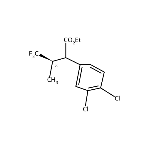 CCOC(=O)C(c1ccc(Cl)c(Cl)c1)[C@@H](C)C(F)(F)F